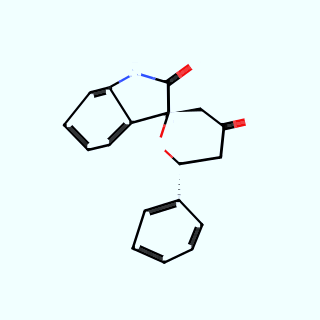 O=C1C[C@H](c2ccccc2)O[C@@]2(C1)C(=O)Nc1ccccc12